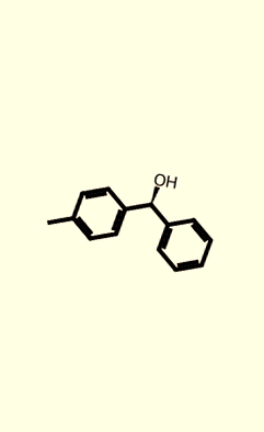 Cc1ccc([C@@H](O)c2ccccc2)cc1